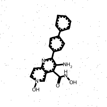 Nc1c(-c2ccc(-c3ccccc3)cc2)nc2cc[n+](O)cc2c1C(=O)NO